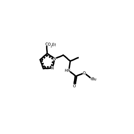 CCOC(=O)c1ccnn1CC(C)NC(=O)OC(C)(C)C